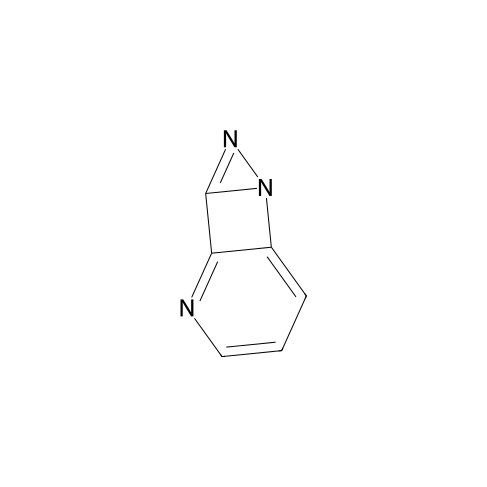 c1cnc2c3nn-3c2c1